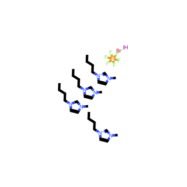 CCCCN1C=CN(C)C1.CCCCN1C=CN(C)C1.CCCC[n+]1ccn(C)c1.CCCC[n+]1ccn(C)c1.F[P-](F)(F)(F)(F)F.I.[Br-]